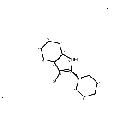 CC1=C(C2CCCCC2)NC2CCCCC12